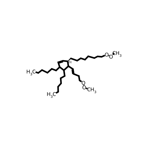 CCCCCCC1C=C[C@@H](CCCCCCCCOOC)C(C=CCCOOC)C1CCCCCC